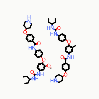 CCC(CC)NC(=O)Nc1ccc(Oc2ccc(NC(=O)c3ccc(OC4CCNCC4)cc3)cc2)c(OC)c1.CCC(CC)NC(=O)Nc1ccc(Oc2ccc(NC(=O)c3ccc(OC4CCNCC4)cc3)cc2C)cc1